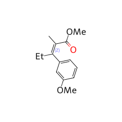 CC/C(=C(\C)C(=O)OC)c1cccc(OC)c1